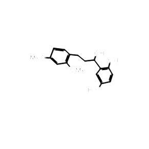 COc1ccc(CCC(O)c2cc(C)ccc2O)c(OC)c1